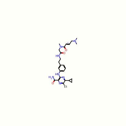 CCc1nc(C(N)=O)c(Nc2cccc(CCNC(=O)CN(C)C(=O)/C=C/CN(C)C)c2)nc1C1CC1